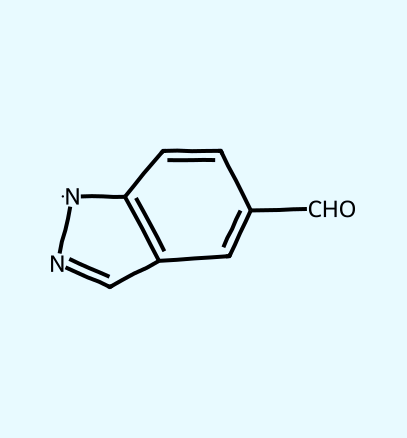 O=Cc1ccc2c(c1)C=N[N]2